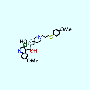 COc1ccc(SCCCN2CCC(CCC(O)c3c(Cl)cnc4ccc(OC)cc34)(C(=O)O)CC2)cc1